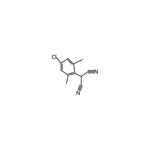 Cc1cc(Cl)cc(C)c1C(C#N)C#N